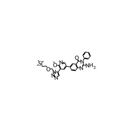 COc1ncc(-c2ccc3nc(N)n(-c4ccccc4)c(=O)c3c2)cc1-c1cnnn1COCC[Si](C)(C)C